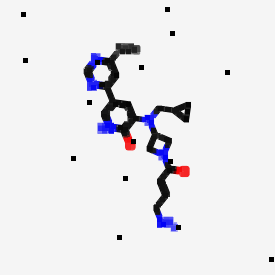 CNc1cc(-c2c[nH]c(=O)c(N(CC3CC3)C3CN(C(=O)C=CCN)C3)c2)ncn1